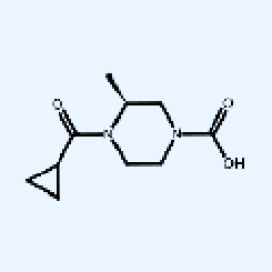 C[C@H]1CN(C(=O)O)CCN1C(=O)C1CC1